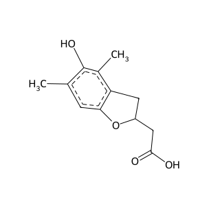 Cc1cc2c(c(C)c1O)CC(CC(=O)O)O2